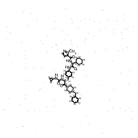 Cn1nccc1C(=O)N[C@H](C(=O)Nc1ccc(C[C@@H](NC(=O)NC2CC2)C(=O)N2CCN(Cc3ccccc3)CC2)cc1)C1CCCCC1